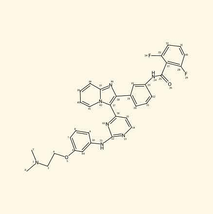 CN(C)CCOc1cccc(Nc2nccc(-c3c(-c4cccc(NC(=O)c5c(F)cccc5F)c4)nc4ccccn34)n2)c1